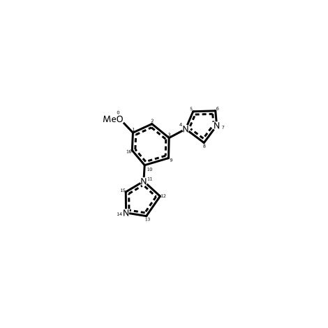 COc1cc(-n2ccnc2)cc(-n2ccnc2)c1